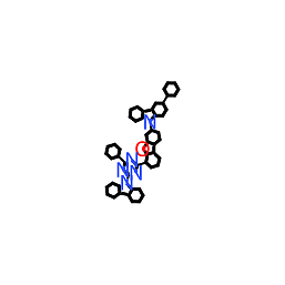 c1ccc(-c2ccc3c(c2)c2ccccc2n3-c2ccc3c(c2)oc2c(-c4nc(-c5ccccc5)nc(-n5c6ccccc6c6ccccc65)n4)cccc23)cc1